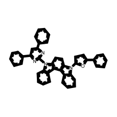 c1ccc(-c2cc(-c3ccccc3)nc(-n3c4ccccc4c4c5c6ccccc6n(-c6ccc(-c7ccccc7)o6)c5ccc43)n2)cc1